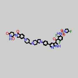 O=C1CCC(N2Cc3cc(N4CCC(CN5CCC6(CC5)CCN(c5ccc(-c7cnc8[nH]cc(C(=O)c9c(F)ccc(NS(=O)(=O)N%10CC[C@@H](F)C%10)c9F)c8c7)cc5)C6)CC4)ccc3C2=O)C(=O)N1